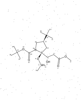 COC(=O)C[C@H](O)[C@@]1(O[SiH](C)C)C[C@H](C(C)(C)C)CN1C(=O)OC(C)(C)C